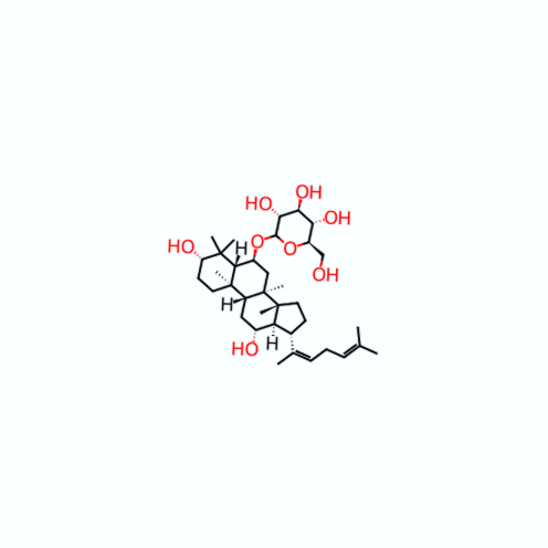 CC(C)=CC/C=C(/C)[C@H]1CC[C@]2(C)[C@@H]1[C@H](O)C[C@@H]1[C@@]3(C)CC[C@H](O)C(C)(C)[C@@H]3[C@@H](OC3O[C@H](CO)[C@@H](O)[C@H](O)[C@H]3O)C[C@]12C